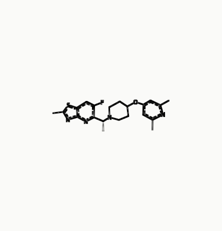 Cc1cc(OC2CCN([C@H](C)c3nc4nc(C)sc4cc3F)CC2)cc(C)n1